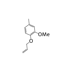 C=CCOc1ccc(C)cc1OC